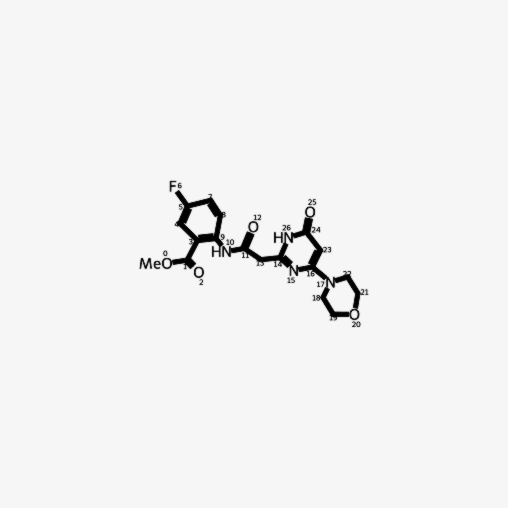 COC(=O)c1cc(F)ccc1NC(=O)Cc1nc(N2CCOCC2)cc(=O)[nH]1